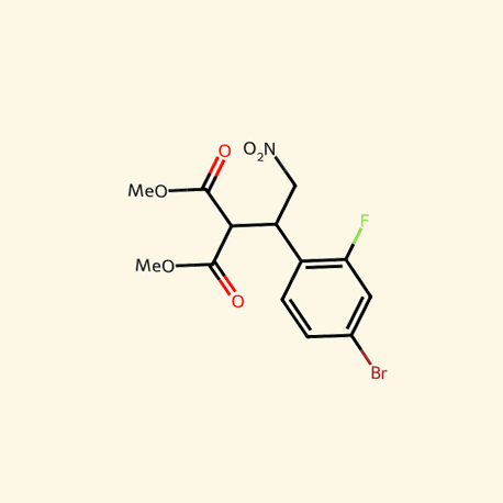 COC(=O)C(C(=O)OC)C(C[N+](=O)[O-])c1ccc(Br)cc1F